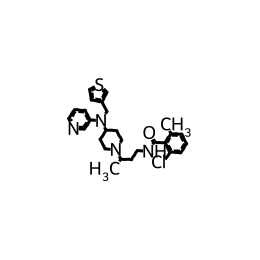 Cc1cccc(Cl)c1C(=O)NCCC(C)N1CCC(N(Cc2ccsc2)c2cccnc2)CC1